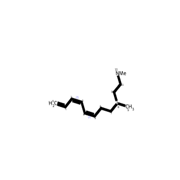 C=C/C=C\C=C/CCI(C)CCNC